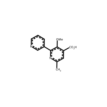 COc1c(C(=O)O)cc(C)nc1-c1cccnc1